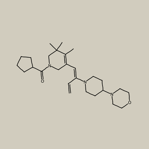 C=C/C(=C\C1=C(C)C(C)(C)CN(C(=O)C2CCCC2)C1)N1CCC(N2CCOCC2)CC1